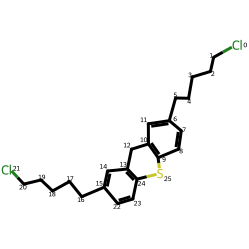 ClCCCCCc1ccc2c(c1)Cc1cc(CCCCCCl)ccc1S2